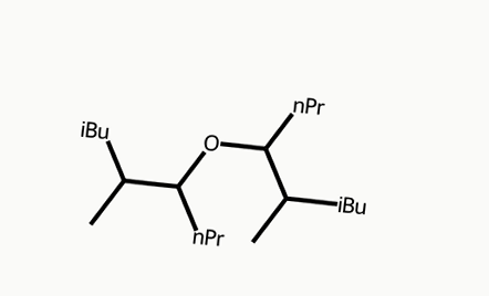 CCCC(OC(CCC)C(C)C(C)CC)C(C)C(C)CC